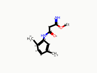 CCOC(=N)CC(=O)Nc1cc(C)ccc1C